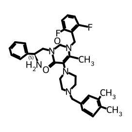 Cc1ccc(CN2CCN(c3c(C)n(Cc4c(F)cccc4F)c(=O)n(C[C@@H](N)c4ccccc4)c3=O)CC2)cc1C